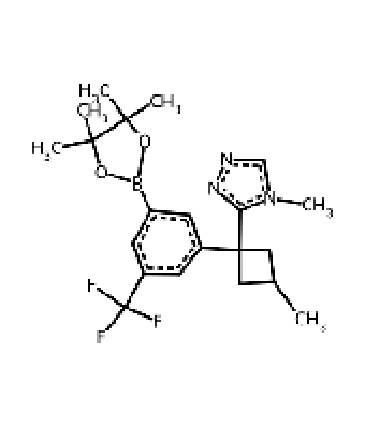 CC1CC(c2cc(B3OC(C)(C)C(C)(C)O3)cc(C(F)(F)F)c2)(c2nncn2C)C1